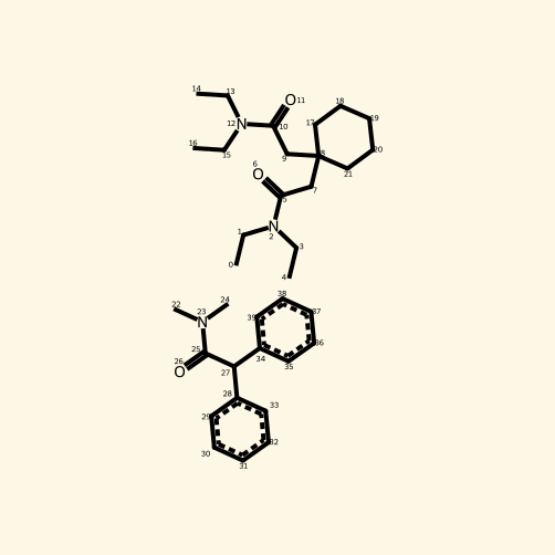 CCN(CC)C(=O)CC1(CC(=O)N(CC)CC)CCCCC1.CN(C)C(=O)C(c1ccccc1)c1ccccc1